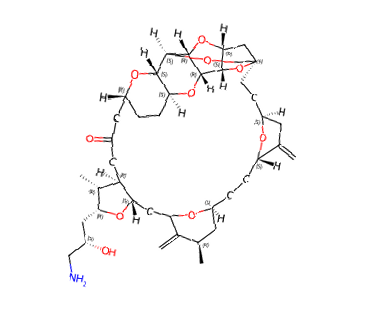 C=C1C2C[C@@H]3O[C@H](C[C@H](O)CN)[C@H](C)[C@H]3CC(=O)C[C@H]3CC[C@@H]4O[C@@H]5[C@H]6O[C@@H]7C[C@](CC[C@H]8CC(=C)[C@H](CC[C@@H](C[C@H]1C)O2)O8)(O[C@H]6[C@H]4O3)O[C@H]57